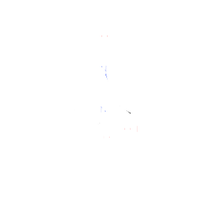 O=C(O)[C@@H]1C[C@H](N2CCOCc3ccccc32)CN1C(=O)C(c1ccccc1)c1ccccc1